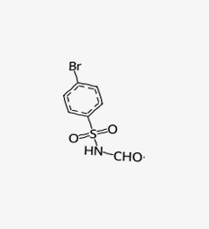 O=[C]NS(=O)(=O)c1ccc(Br)cc1